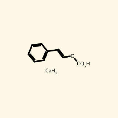 O=C(O)OC=Cc1ccccc1.[CaH2]